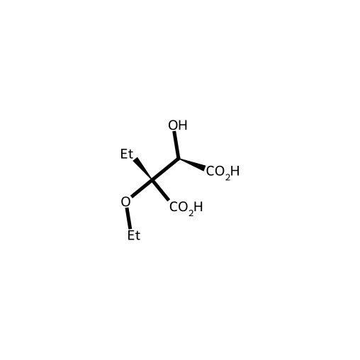 CCO[C@@](CC)(C(=O)O)[C@@H](O)C(=O)O